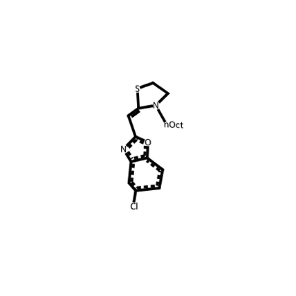 CCCCCCCCN1CCSC1=Cc1nc2cc(Cl)ccc2o1